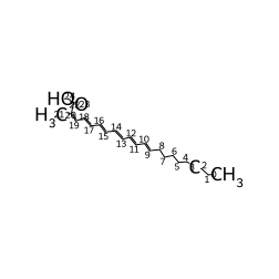 CCCCCCCCCC=CC=CC=CC=CC=CC=C(C)C(=O)O